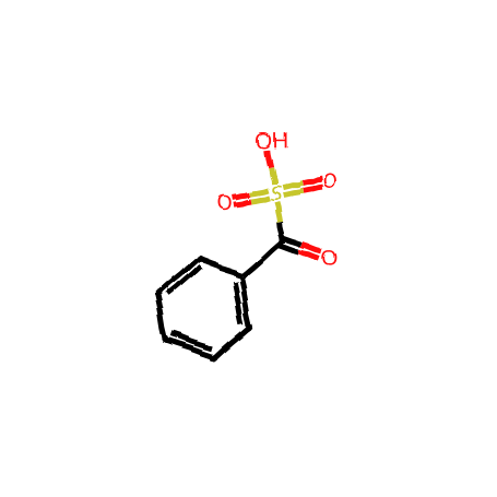 O=C(c1ccccc1)S(=O)(=O)O